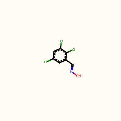 ON=Cc1cc(Cl)cc(Cl)c1Cl